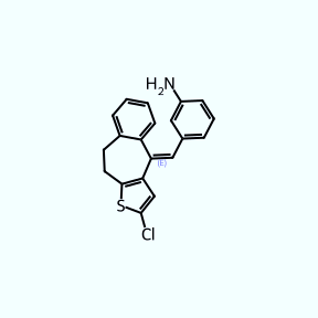 Nc1cccc(/C=C2\c3ccccc3CCc3sc(Cl)cc32)c1